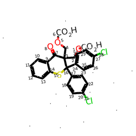 O=C(O)OCC1(COC(=O)O)C(=O)c2ccccc2SC1(c1ccc(Cl)cc1)c1ccc(Cl)cc1